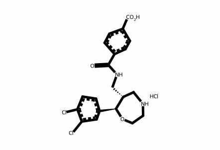 Cl.O=C(O)c1ccc(C(=O)NC[C@@H]2CNCCO[C@H]2c2ccc(Cl)c(Cl)c2)cc1